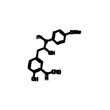 COc1ccc(N(C(C)C)C(O)Cc2ccc(O)c(NC=O)c2)cc1